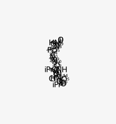 Cc1cc(Nc2ncc(Cl)c(Nc3ccccc3S(=O)(=O)C(C)C)n2)c(OC(C)C)cc1N1CCN(Cc2ccc(N3CCC(=O)NC3=O)cc2F)CC1